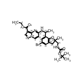 CCOC(=O)c1cnn2ccc(NC(C)c3cc(Br)cc4c3OC(C)(CNC(=O)OC(C)(C)C)C4)nc12